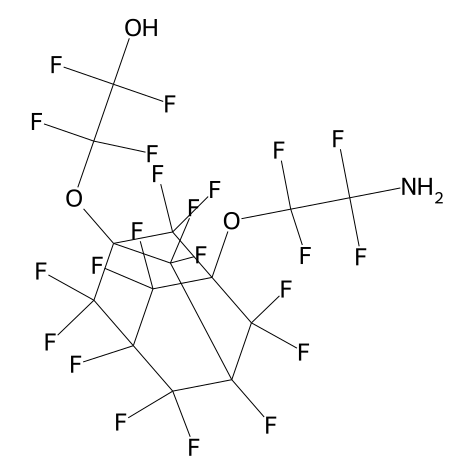 NC(F)(F)C(F)(F)OC12C(F)(F)C3(F)C(F)(F)C(F)(C1(F)F)C(F)(F)C(OC(F)(F)C(O)(F)F)(C3(F)F)C2(F)F